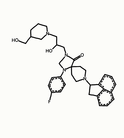 O=C1N(CC(O)CN2CCCC(CO)C2)CN(c2ccc(F)cc2)C12CCN(C1Cc3cccc4cccc1c34)CC2